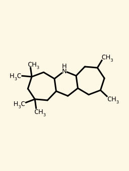 CC1CC(C)CC2NC3CC(C)(C)CC(C)(C)CC3CC2C1